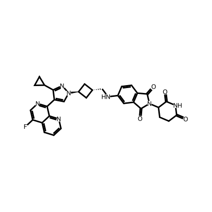 O=C1CCC(N2C(=O)c3ccc(NC[C@H]4C[C@H](n5cc(-c6ncc(F)c7cccnc67)c(C6CC6)n5)C4)cc3C2=O)C(=O)N1